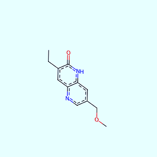 CCc1cc2ncc(COC)cc2[nH]c1=O